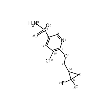 NS(=O)(=O)c1cnc(OCC2CC2(F)F)c(Cl)c1